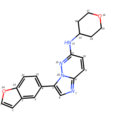 c1cc2cc(-c3cnc4ccc(NC5CCOCC5)nn34)ccc2o1